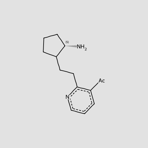 CC(=O)c1cccnc1CCC1CCC[C@@H]1N